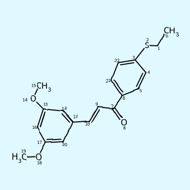 CCSc1ccc(C(=O)C=Cc2cc(OC)cc(OC)c2)cc1